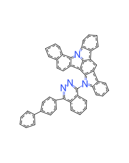 c1ccc(-c2ccc(-c3nnc(-n4c5ccccc5c5cc6c7ccccc7n7c8c9ccccc9ccc8c(c54)c67)c4ccccc34)cc2)cc1